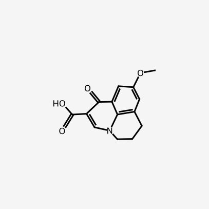 COc1cc2c3c(c1)c(=O)c(C(=O)O)cn3CCC2